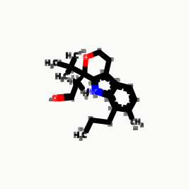 [2H]C([2H])(C=O)[C@@]1(C(C)(C)C)OCCc2c1[nH]c1c(CCC)c(C)ccc21